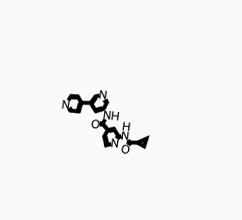 O=C(Nc1cncc(-c2ccncc2)c1)c1ccnc(NC(=O)C2CC2)c1